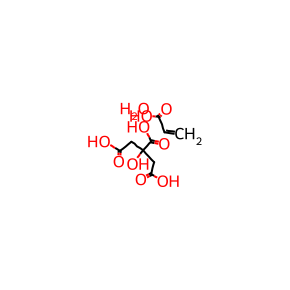 C=CC(=O)O.O.O=C(O)CC(O)(CC(=O)O)C(=O)O